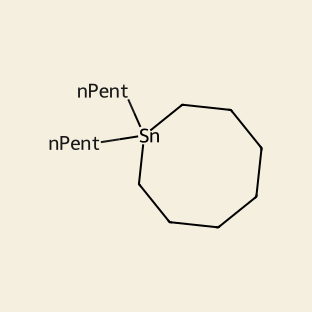 CCCC[CH2][Sn]1([CH2]CCCC)[CH2]CCCCC[CH2]1